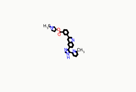 Cc1cccc(-c2[nH]cnc2-c2ccc3ncc(-c4cccc(C(=O)O[C@@H]5CCN(C)C5)c4)cc3c2)n1